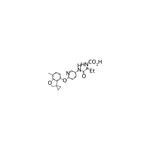 CC[C@@H](NC(=O)O)C(=O)Nc1ccc(Oc2ccc(C)c3c2C2(CC2)CO3)nc1